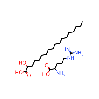 CCCCCCCCCCCCCCCCC(O)C(=O)O.N=C(N)NCCCC(N)C(=O)O